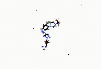 CN(C)CC12CC(n3cc(-n4ncc5cc(Cl)c(N6CCN(C7(C)COC7)CC6)cc54)cn3)(C1)C2